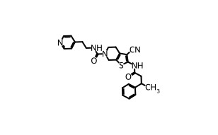 CC(CC(=O)Nc1sc2c(c1C#N)CCN(C(=O)NCCc1ccncc1)C2)c1ccccc1